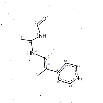 C/C(=N\NC(C)NC=O)c1ccncc1